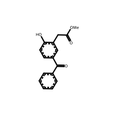 COC(=O)Cc1cc(C(=O)c2ccccc2)ccc1O